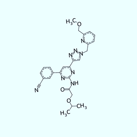 COCc1cccc(Cn2cc(-c3cc(-c4cccc(C#N)c4)nc(NC(=O)COC(C)C)n3)nn2)n1